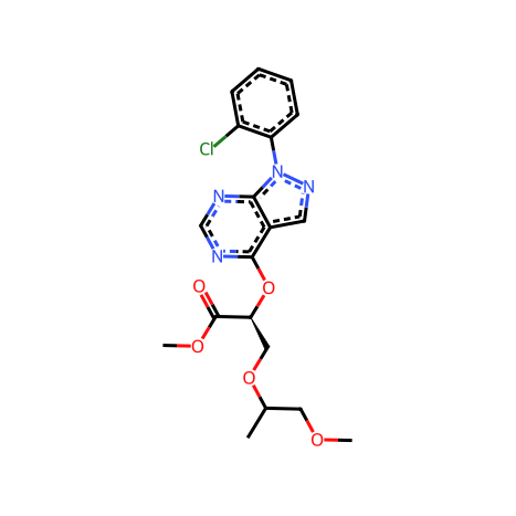 COCC(C)OC[C@H](Oc1ncnc2c1cnn2-c1ccccc1Cl)C(=O)OC